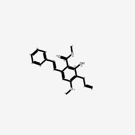 C=CCc1c(OC)cc(/C=C/c2ccccc2)c(C(=O)OC)c1O